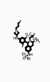 CCP(=O)(CC)Nc1ccc2c(c1)CC(C)N(CC(C)(C)F)C2c1c(F)cc(NC2CN(CCCF)C2)cc1F